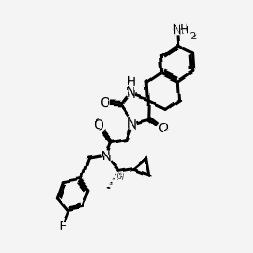 C[C@@H](C1CC1)N(Cc1ccc(F)cc1)C(=O)CN1C(=O)NC2(CCc3ccc(N)cc3C2)C1=O